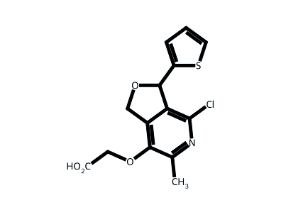 Cc1nc(Cl)c2c(c1OCC(=O)O)COC2c1cccs1